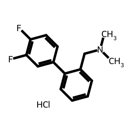 CN(C)Cc1ccccc1-c1ccc(F)c(F)c1.Cl